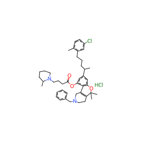 Cc1ccc(Cl)cc1CCCC(C)c1cc(OC(=O)CCCN2CCCCC2C)c2c(c1)OC(C)(C)C1=C2CN(Cc2ccccc2)CC1.Cl